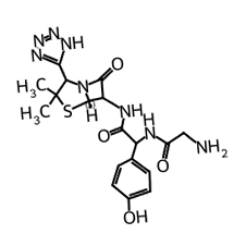 CC1(C)S[C@H]2C(NC(=O)C(NC(=O)CN)c3ccc(O)cc3)C(=O)N2C1c1nnn[nH]1